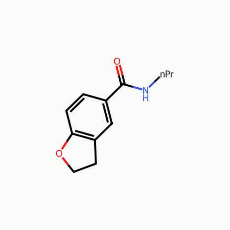 CCCNC(=O)c1ccc2c(c1)CCO2